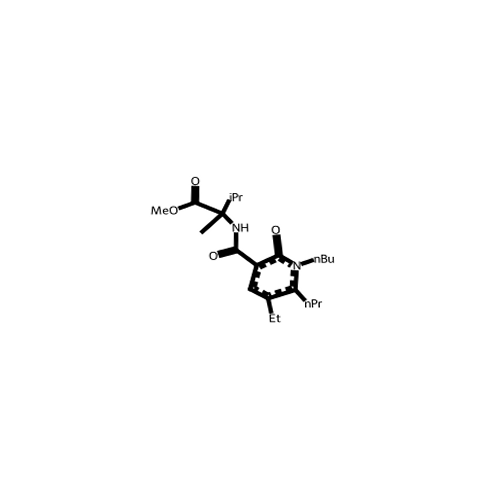 CCCCn1c(CCC)c(CC)cc(C(=O)NC(C)(C(=O)OC)C(C)C)c1=O